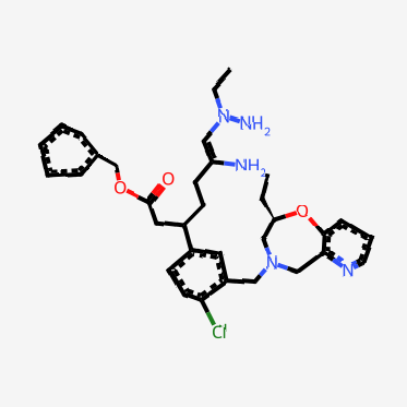 CC[C@@H]1CN(Cc2cc(C(CC/C(N)=C/N(N)CC)CC(=O)OCc3ccccc3)ccc2Cl)Cc2ncccc2O1